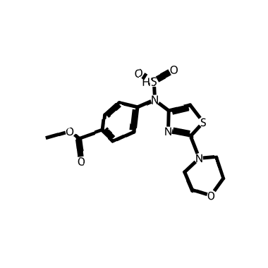 COC(=O)c1ccc(N(c2csc(N3CCOCC3)n2)[SH](=O)=O)cc1